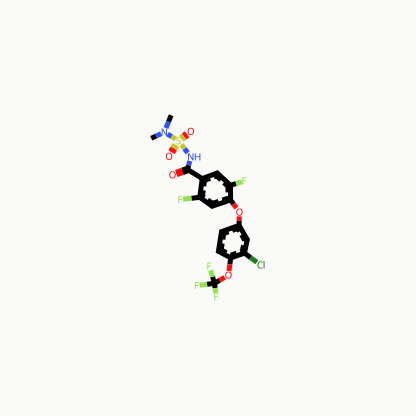 CN(C)S(=O)(=O)NC(=O)c1cc(F)c(Oc2ccc(OC(F)(F)F)c(Cl)c2)cc1F